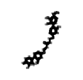 CCOc1ccc(-c2ccc(OCCC(=O)CCOc3ccc(-c4ccc(C)c(F)c4F)c(F)c3)cc2F)c(F)c1F